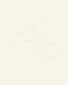 COc1c(OC)c(OC)c2cc3c(OC)cccc3cc2c1OC